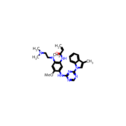 C=CC(=O)Nc1cc(Nc2ncnc(-n3cc(C)c4ccccc43)n2)c(OC)cc1N(C)CCN(C)C